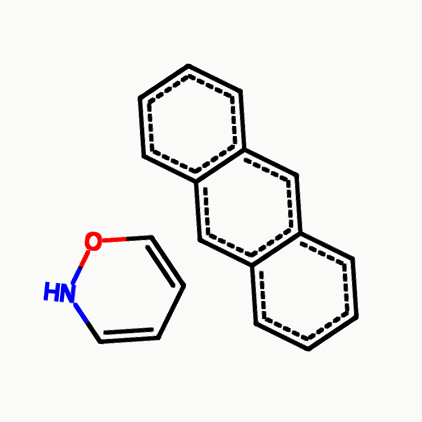 C1=CNOC=C1.c1ccc2cc3ccccc3cc2c1